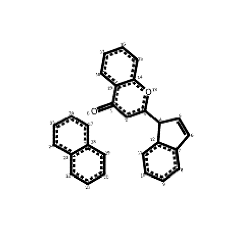 O=c1cc(C2C=Cc3ccccc32)oc2ccccc12.c1ccc2ccccc2c1